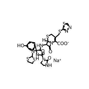 O=C([O-])C1=C(CSc2nncs2)CS[C@H]2C(NC(=O)C3(NC(=O)N4CCNC4=O)c4ccc(O)c(c4)N3C3SCCS3)C(=O)N12.[Na+]